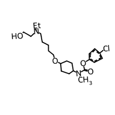 CCN(CCO)CCCCCOC1CCC(N(C)C(=O)Oc2ccc(Cl)cc2)CC1